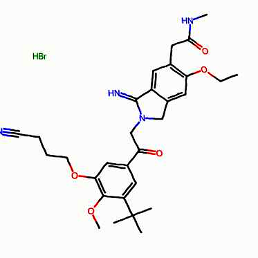 Br.CCOc1cc2c(cc1CC(=O)NC)C(=N)N(CC(=O)c1cc(OCCCC#N)c(OC)c(C(C)(C)C)c1)C2